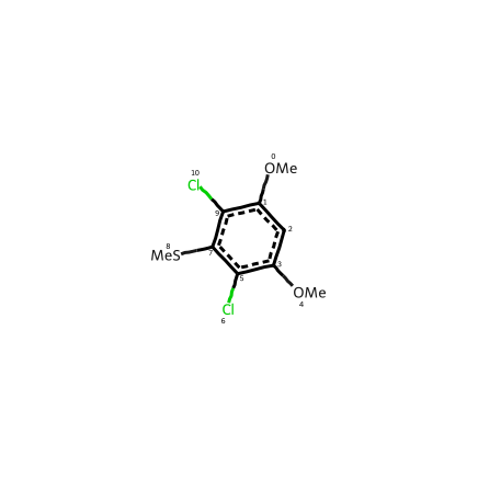 COc1cc(OC)c(Cl)c(SC)c1Cl